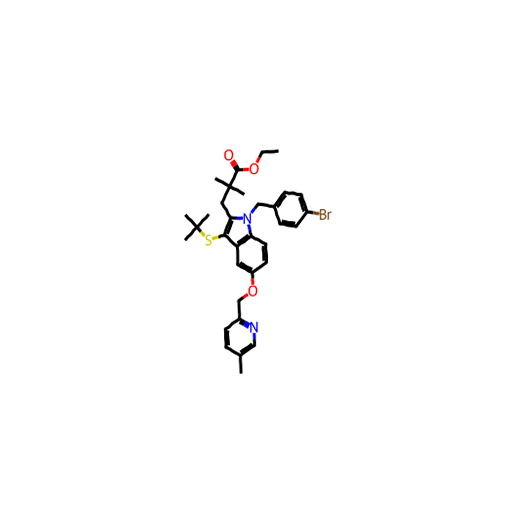 CCOC(=O)C(C)(C)Cc1c(SC(C)(C)C)c2cc(OCc3ccc(C)cn3)ccc2n1Cc1ccc(Br)cc1